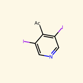 CC(=O)c1c(I)cncc1I